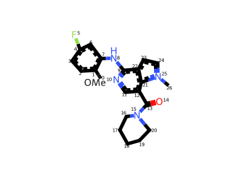 COc1ccc(F)cc1Nc1ncc(C(=O)N2CCCCC2)c2c1ccn2C